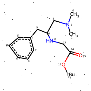 CN(C)CC(Cc1ccccc1)NCC(=O)OC(C)(C)C